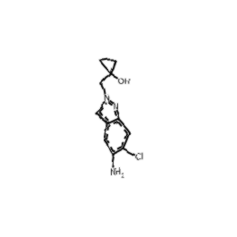 Nc1cc2cn(CC3(O)CC3)nc2cc1Cl